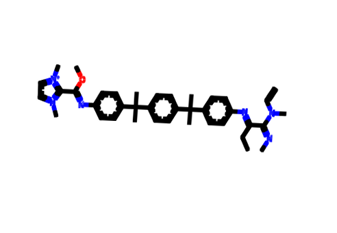 C=CN(C)C(=N/C)/C(CC)=N/c1ccc(C(C)(C)c2ccc(C(C)(C)c3ccc(/N=C(\OC)c4n(C)cc[n+]4C)cc3)cc2)cc1